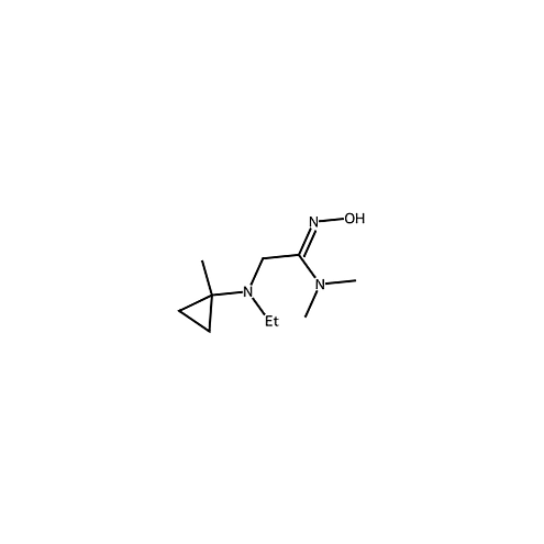 CCN(C/C(=N/O)N(C)C)C1(C)CC1